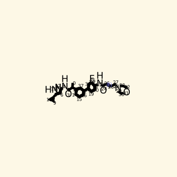 CC(C(=O)Nc1cc(C2CC2)[nH]n1)c1cccc(-c2ccc(NC(=O)/C=C/CN3CCOCC3)c(F)c2)c1